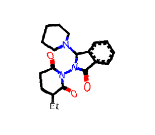 CCC1CCC(=O)N(N2C(=O)c3ccccc3C2N2CCCCC2)C1=O